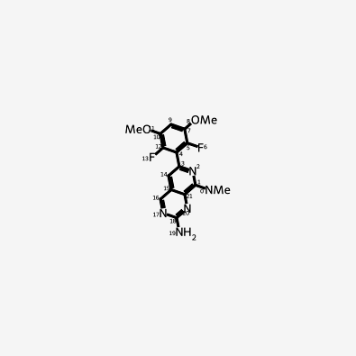 CNc1nc(-c2c(F)c(OC)cc(OC)c2F)cc2cnc(N)nc12